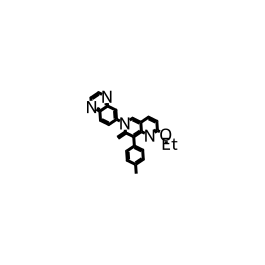 C=C1C(c2ccc(C)cc2)=c2nc(OCC)ccc2=CN1c1ccc2nccnc2c1